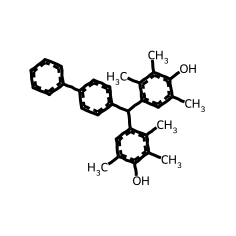 Cc1cc(C(c2ccc(-c3ccccc3)cc2)c2cc(C)c(O)c(C)c2C)c(C)c(C)c1O